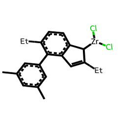 CCC1=Cc2c(ccc(CC)c2-c2cc(C)cc(C)c2)[CH]1[Zr]([Cl])[Cl]